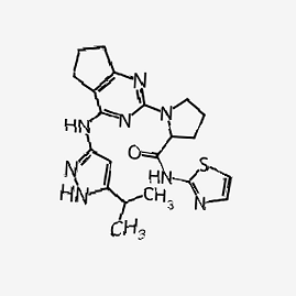 CC(C)c1cc(Nc2nc(N3CCCC3C(=O)Nc3nccs3)nc3c2CCC3)n[nH]1